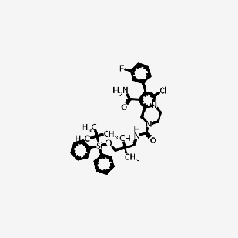 CC(C)(CNC(=O)N1CCn2c(Cl)c(-c3cccc(F)c3)c(C(N)=O)c2C1)CO[Si](c1ccccc1)(c1ccccc1)C(C)(C)C